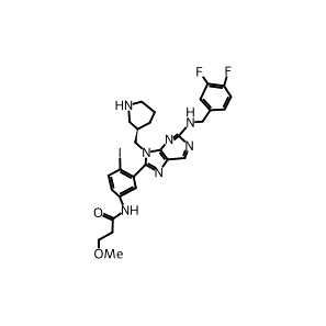 COCCC(=O)Nc1ccc(I)c(-c2nc3cnc(NCc4ccc(F)c(F)c4)nc3n2C[C@@H]2CCCNC2)c1